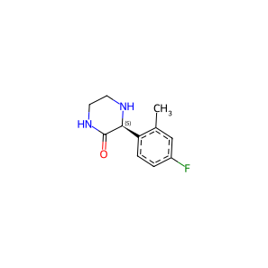 Cc1cc(F)ccc1[C@@H]1NCCNC1=O